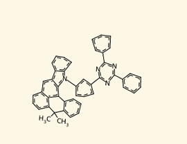 CC1(C)c2ccccc2-c2c3c1cccc3cc1c3ccccc3n(-c3cccc(-c4nc(-c5ccccc5)nc(-c5ccccc5)n4)c3)c21